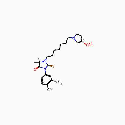 CC1(C)C(=O)N(c2ccc(C#N)c(C(F)(F)F)c2)C(=S)N1CCCCCCCN1CC[C@@H](O)C1